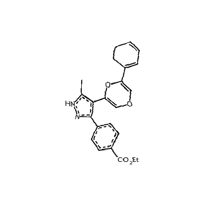 CCOC(=O)c1ccc(-c2n[nH]c(C)c2C2=COC=C(C3=CC=CCC3)O2)cc1